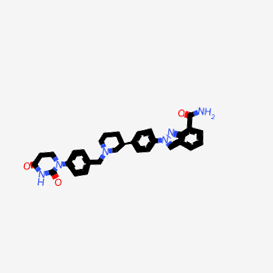 NC(=O)c1cccc2cn(-c3ccc([C@@H]4CCCN(Cc5ccc(N6CCC(=O)NC6=O)cc5)C4)cc3)nc12